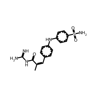 CC(=Cc1ccc(Nc2ccc(S(N)(=O)=O)cc2)cc1)C(=O)NC(=N)N